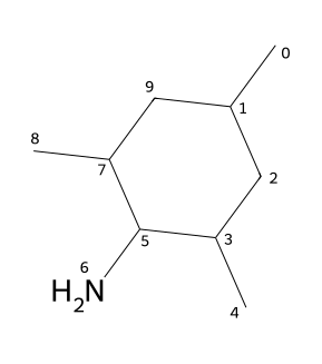 CC1CC(C)C(N)C(C)C1